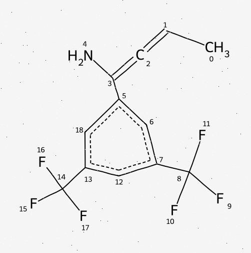 CC=C=C(N)c1cc(C(F)(F)F)cc(C(F)(F)F)c1